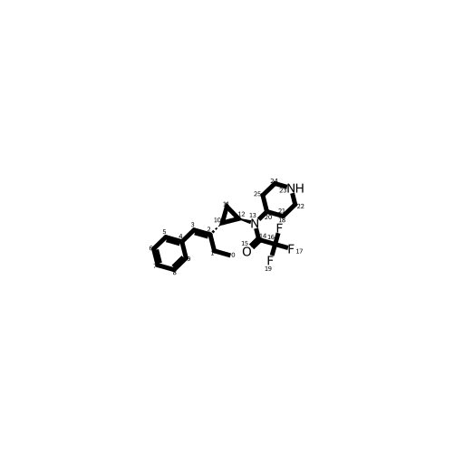 CC/C(=C\c1ccccc1)[C@@H]1C[C@H]1N(C(=O)C(F)(F)F)C1CCNCC1